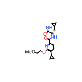 COCCOc1nc(C(=O)N[C@@H](CC2CC2)C(N)=O)ccc1C1CC1